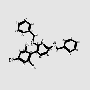 Fc1cc(Br)cc(F)c1-c1ccc(OCc2ccccc2)nc1OCc1ccccc1